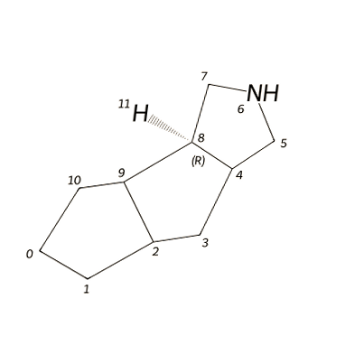 C1CC2CC3CNC[C@@H]3C2C1